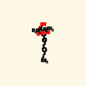 C=C(C)C(=O)OCC(COC(=O)C(=C)COCO)c1ccc(CCC2CCC(CCCCC)CC2)cc1